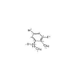 [O-][NH+](O)c1cc(Br)cc(F)c1O